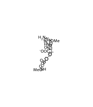 CO/N=C(\C(=O)N[C@@H]1C(=O)N2C(C(=O)[O-])=C(C[n+]3ccc(-c4ccc(-n5cc(CC(=O)NOC)oc5=O)cc4)cc3)CS[C@@H]12)c1nsc(N)n1